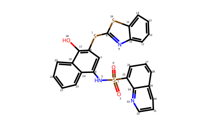 O=S(=O)(Nc1cc(Sc2nc3ccccc3s2)c(O)c2ccccc12)c1cccc2cccnc12